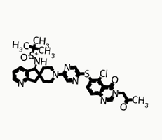 CC(=O)Cn1cnc2ccc(Sc3cnc(N4CCC5(CC4)Cc4ncccc4[C@H]5N[S+]([O-])C(C)(C)C)cn3)c(Cl)c2c1=O